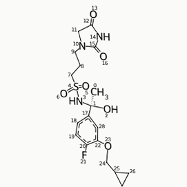 C[C@@](O)(NS(=O)(=O)CCCN1CC(=O)NC1=O)c1ccc(F)c(OCC2CC2)c1